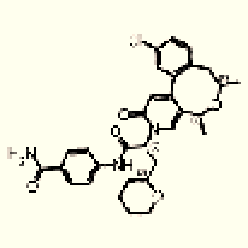 C[C@@H]1Cc2ccc(Cl)cc2-c2cc(=O)n([C@@H](C[C@@H]3CCCCO3)C(=O)Nc3ccc(C(N)=O)cc3)cc2[C@H](C)O1